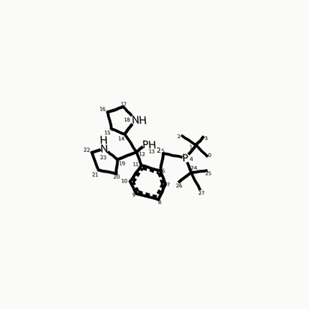 CC(C)(C)P(Cc1ccccc1C(P)(C1CCCN1)C1CCCN1)C(C)(C)C